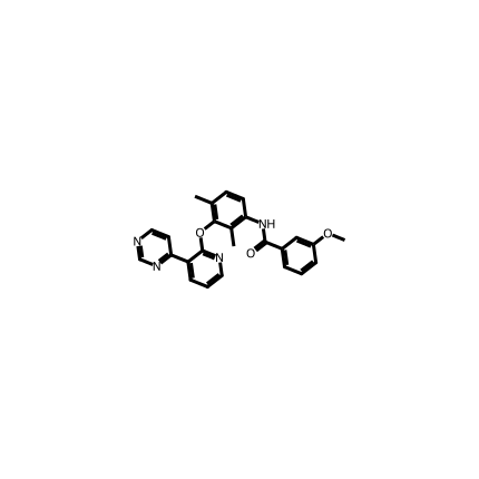 COc1cccc(C(=O)Nc2ccc(C)c(Oc3ncccc3-c3ccncn3)c2C)c1